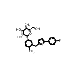 Cc1ccc([C@@H]2O[C@H](CO)C(C)[C@H](O)[C@H]2O)cc1Cc1ccc(-c2ccc(F)cc2)s1